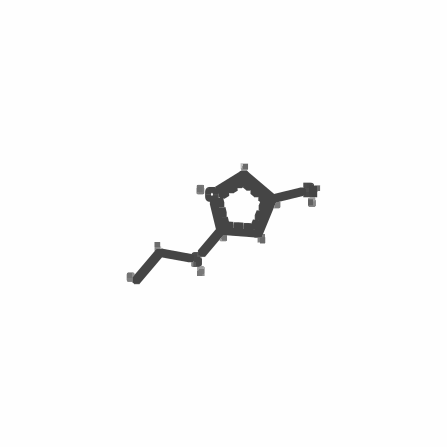 CCSc1cc(Br)co1